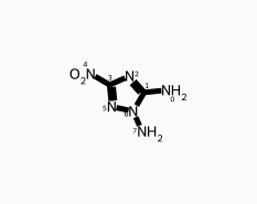 Nc1nc([N+](=O)[O-])nn1N